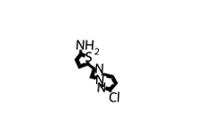 Nc1ccc(-c2cn3nc(Cl)ccc3n2)s1